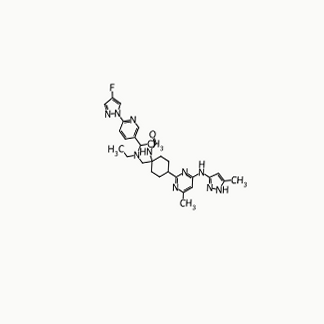 CCN(CC1(NC=O)CCC(c2nc(C)cc(Nc3cc(C)[nH]n3)n2)CC1)C(C)c1ccc(-n2cc(F)cn2)nc1